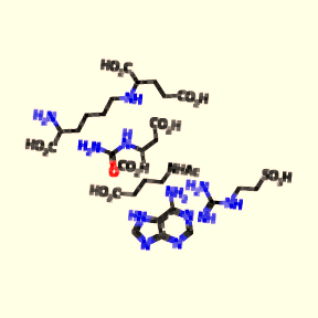 CC(=O)NCCCC(=O)O.N=C(N)NCCS(=O)(=O)O.NC(=O)NC(CC(=O)O)C(=O)O.NC(CCCCNC(CCC(=O)O)C(=O)O)C(=O)O.Nc1ncnc2nc[nH]c12